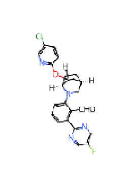 O=Cc1c(-c2ncc(F)cn2)cccc1N1C[C@@H]2CC[C@H]1[C@H](Oc1ccc(Cl)cn1)C2